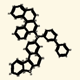 c1ccc(-c2cccc(N(c3ccc4c(ccc5oc6ccccc6c54)c3)c3cc4ccc5ccccc5c4c4ccccc34)c2)cc1